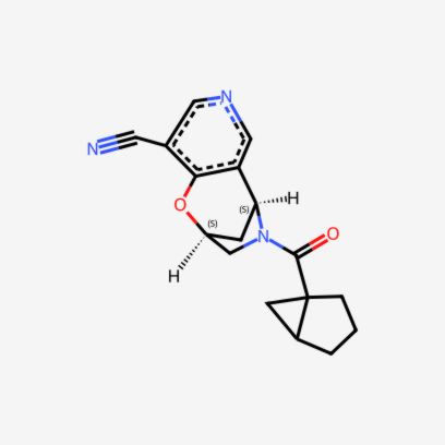 N#Cc1cncc2c1O[C@H]1C[C@@H]2N(C(=O)C23CCCC2C3)C1